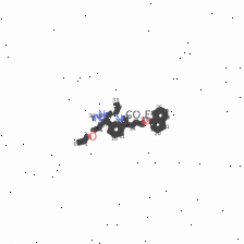 C=CCOCCc1c(-c2cccc3c(CCCOc4cccc5ccccc45)c(C(=O)OCC)n(CC=C)c23)c(C)nn1C